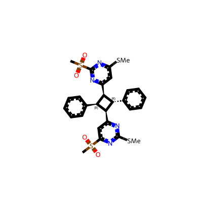 CSc1cc([C@H]2[C@H](c3ccccc3)[C@@H](c3cc(S(C)(=O)=O)nc(SC)n3)[C@H]2c2ccccc2)nc(S(C)(=O)=O)n1